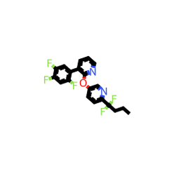 CCCC(F)(F)c1ccc(Oc2ncccc2-c2cc(F)c(F)cc2F)cn1